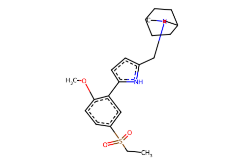 CCS(=O)(=O)c1ccc(OC)c(-c2ccc(CN3CC4CCC(CC4)C3)[nH]2)c1